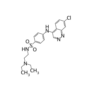 CCN(CC)CCNS(=O)(=O)c1ccc(Nc2cnnc3cc(Cl)ccc23)cc1